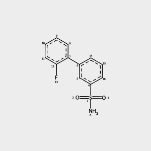 NS(=O)(=O)c1[c]c(-c2ccccc2F)ccc1